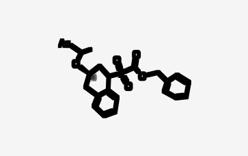 CC(=O)C(C)O[C@@H]1Cc2ccccc2C(S(=O)(=O)C(=O)OCc2ccccc2)C1